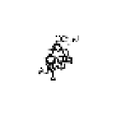 CC(=O)N(CC1CC1)c1ccc(Oc2cc(OC3(CO[Si](C)(C)C(C)(C)C)CCC3)cc(C(=O)O)c2)cc1